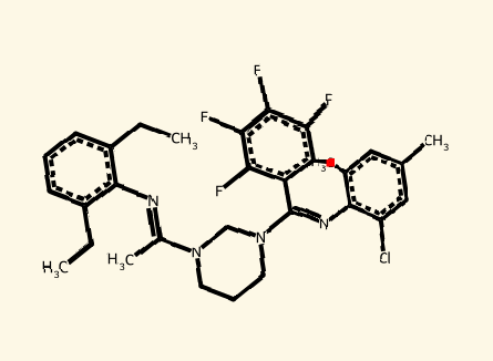 CCc1cccc(CC)c1/N=C(\C)N1CCCN(/C(=N/c2c(C)cc(C)cc2Cl)c2c(F)c(F)c(F)c(F)c2F)C1